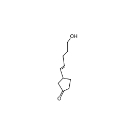 O=C1CCC(C=CCCCO)C1